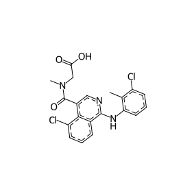 Cc1c(Cl)cccc1Nc1ncc(C(=O)N(C)CC(=O)O)c2c(Cl)cccc12